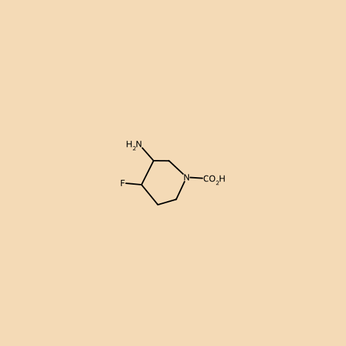 NC1CN(C(=O)O)CCC1F